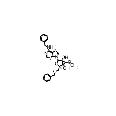 COC1[C@@]2(O)[C@@H](COCc3ccccc3)O[C@@H](n3cnc4c(NCc5ccccc5)ncnc43)[C@@]12O